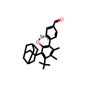 Cc1c(C)c(C(C)(C)C)c(C23CC4CC(CC(C4)C2)C3)c(O[SiH3])c1-c1ccc(C=O)cc1